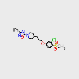 CC(C)c1noc(N2CCC(CCCOc3ccc(S(C)(=O)=O)c(Cl)c3)CC2)n1